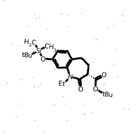 CCN1C(=O)[C@@H](C(=O)OC(C)(C)C)CCc2ccc(O[Si](C)(C)C(C)(C)C)cc21